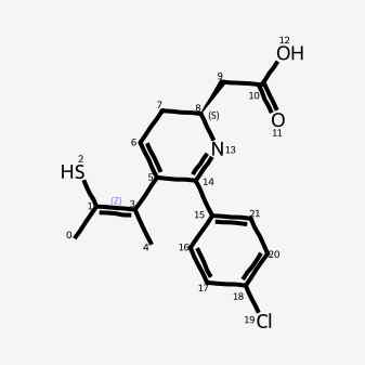 C/C(S)=C(\C)C1=CC[C@@H](CC(=O)O)N=C1c1ccc(Cl)cc1